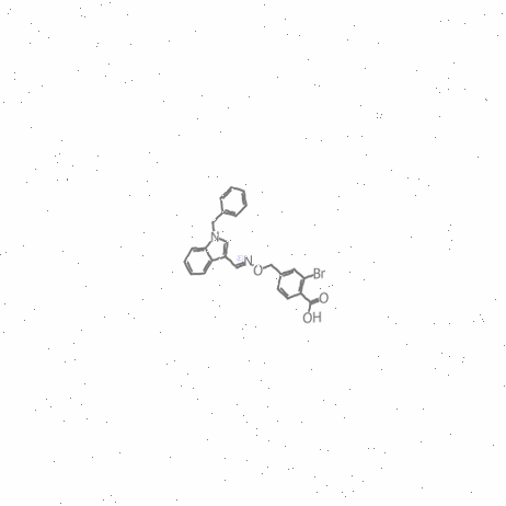 O=C(O)c1ccc(CO/N=C/c2cn(Cc3ccccc3)c3ccccc23)cc1Br